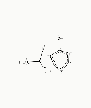 CC(N)C(=O)O.Oc1ccccc1